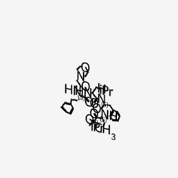 CC(C)CC(NC(=O)[C@H](CCc1ccccc1)NC(=O)CN1CCOCC1)C(=O)N[C@@H](Cc1ccccc1)C(=O)N[C@@H](CC(C)C)C(=O)[C@@]1(C)CO1